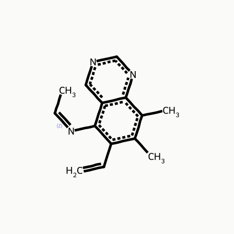 C=Cc1c(C)c(C)c2ncncc2c1/N=C\C